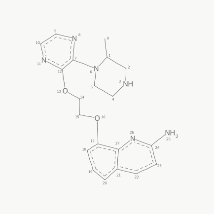 CC1CNCCN1c1nccnc1OCCOc1cccc2ccc(N)nc12